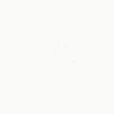 Cc1ccc([C@@H](CN2CC[C@H](O)C2)N(C)C(=O)C(c2ccc(F)cc2)c2ccc(F)cc2)cc1